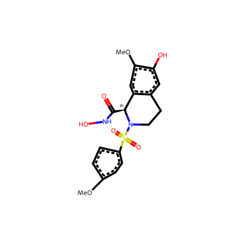 COc1ccc(S(=O)(=O)N2CCc3cc(O)c(OC)cc3[C@@H]2C(=O)NO)cc1